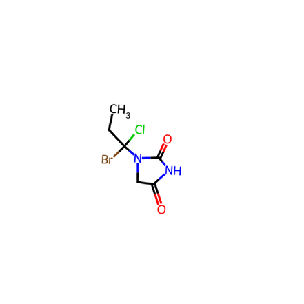 CCC(Cl)(Br)N1CC(=O)NC1=O